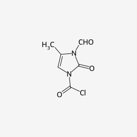 Cc1cn(C(=O)Cl)c(=O)n1C=O